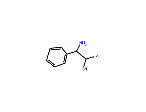 C[CH]CC(C#N)C(N)c1ccccc1